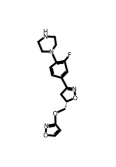 Fc1cc(C2=NO[C@H](COc3ccon3)C2)ccc1N1CCNCC1